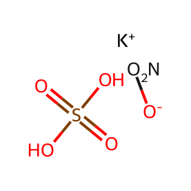 O=S(=O)(O)O.O=[N+]([O-])[O-].[K+]